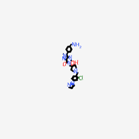 Cn1nc2c(=O)n(CC3(O)CCN(Cc4ccc(-n5cccn5)cc4Cl)CC3)cnc2c1-c1ccc(CN)cc1